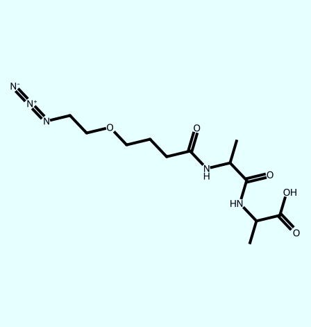 CC(NC(=O)C(C)NC(=O)CCCOCCN=[N+]=[N-])C(=O)O